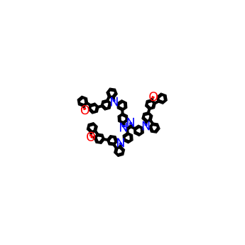 c1cc(-c2ccc3nc(-c4cccc(-n5c6ccccc6c6cc(-c7ccc8oc9ccccc9c8c7)ccc65)c4)c(-c4cccc(-n5c6ccccc6c6cc(-c7ccc8oc9ccccc9c8c7)ccc65)c4)nc3c2)cc(-n2c3ccccc3c3cc(-c4ccc5oc6ccccc6c5c4)ccc32)c1